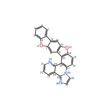 c1ccc2c(c1)oc1cc3c(cc12)oc1ccc2c(c4ncccc4c4nccn24)c13